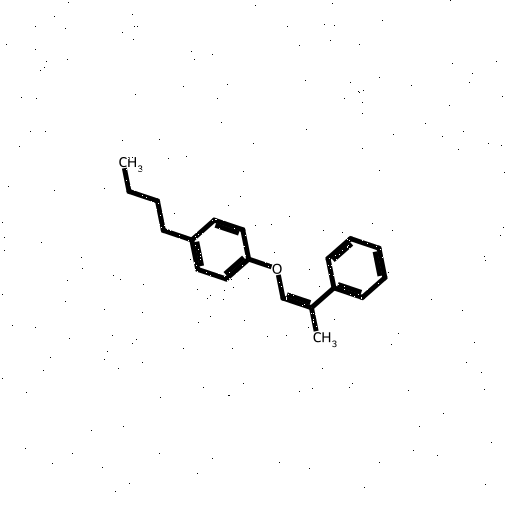 CCCCc1ccc(OC=C(C)c2ccccc2)cc1